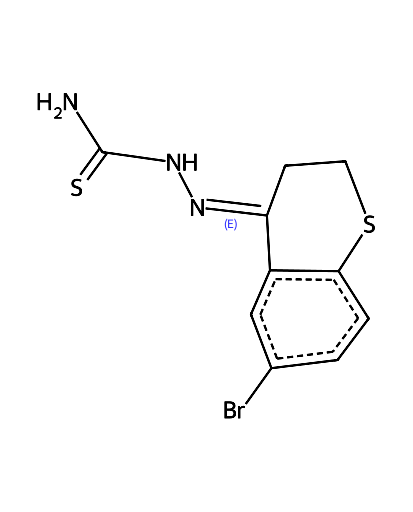 NC(=S)N/N=C1\CCSc2ccc(Br)cc21